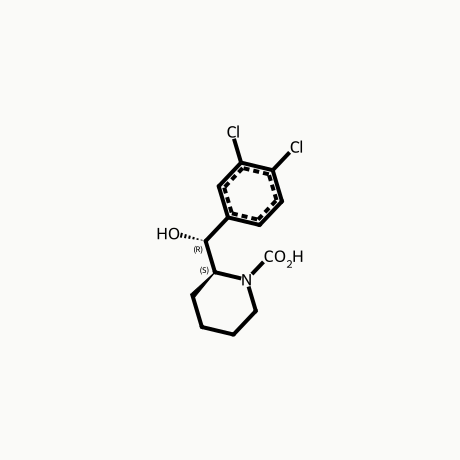 O=C(O)N1CCCC[C@H]1[C@H](O)c1ccc(Cl)c(Cl)c1